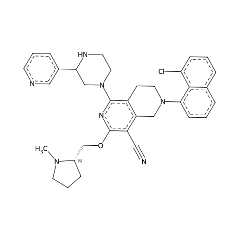 CN1CCC[C@H]1COc1nc(N2CCNC(c3cccnc3)C2)c2c(c1C#N)CN(c1cccc3cccc(Cl)c13)CC2